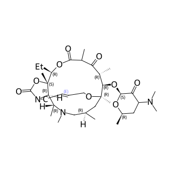 CC[C@H]1OC(=O)C(C)C(=O)[C@H](C)[C@@H](O[C@@H]2O[C@H](C)CC(N(C)C)C2=O)[C@@]2(C)C[C@@H](C)CN(C)[C@H](C)[C@H]3N(C/C=C/CO2)C(=O)O[C@]13C